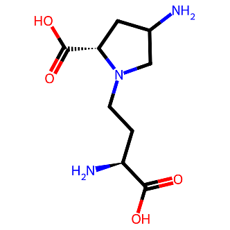 NC1C[C@@H](C(=O)O)N(CC[C@H](N)C(=O)O)C1